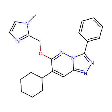 Cn1ccnc1COc1nn2c(-c3ccccc3)nnc2cc1C1CCCCC1